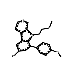 COCCn1c2cnccc2c2cc(Cl)cc(-c3ccc(OC)cc3)c21